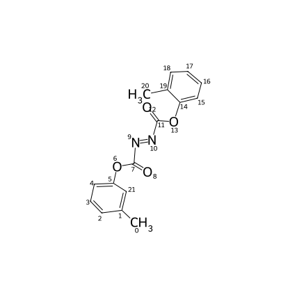 Cc1cccc(OC(=O)/N=N/C(=O)Oc2ccccc2C)c1